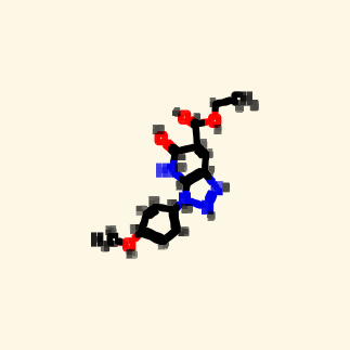 CCOC(=O)c1cc2nnn(-c3ccc(OC)cc3)c2[nH]c1=O